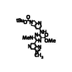 CNc1nc(Nc2cnc3c(c2)CN(C(=O)OC(C)(C)C)C3)c(C(=O)OC)nc1-c1cncc2c1ncn2C